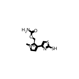 CN1CC=C(c2csc(S)n2)[C@@H]1COC(N)=O